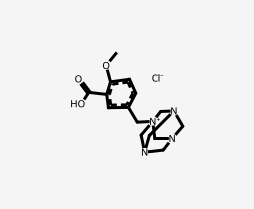 COc1ccc(C[N+]23CN4CN(CN(C4)C2)C3)cc1C(=O)O.[Cl-]